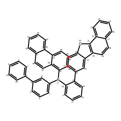 c1ccc(-c2cccc(N(c3ccccc3-c3ccc4oc5c6ccccc6ccc5c4c3)c3cccc4c3ccc3ccccc34)c2)cc1